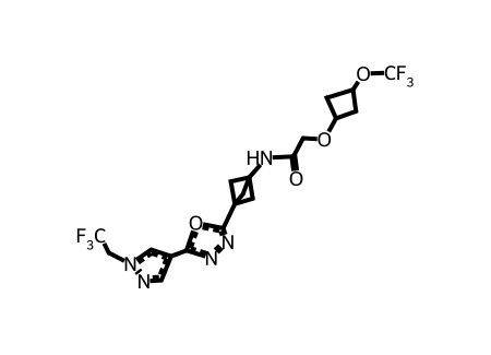 O=C(COC1CC(OC(F)(F)F)C1)NC12CC(c3nnc(-c4cnn(CC(F)(F)F)c4)o3)(C1)C2